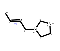 C/C=C/CN1CCNC1